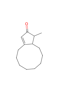 CC1C(=O)C=C2CCCCCCCCC21